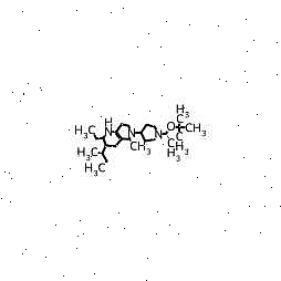 CCC1NC2=C(CC1[C@H](C)CC)[C@@H](C)N(C1CCN([C@@H](C)OC(C)(C)C)CC1)CC2